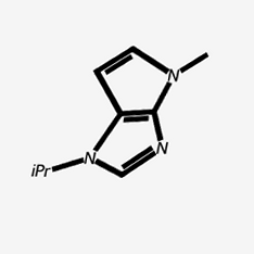 CC(C)n1cnc2c1ccn2C